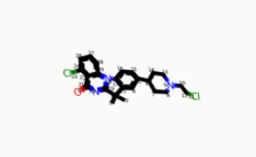 CC1(C)c2cc(C3CCN(CCCl)CC3)ccc2-n2c1nc(=O)c1c(Cl)cccc12